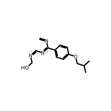 C=N/C(=N\C=N/CO)c1ccc(OCC(C)C)cc1